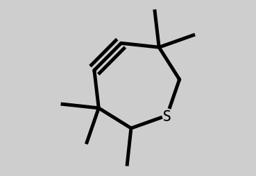 CC1SCC(C)(C)C#CC1(C)C